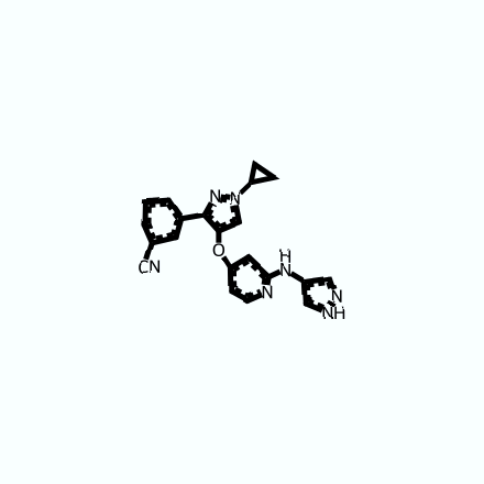 N#Cc1cccc(-c2nn(C3CC3)cc2Oc2ccnc(Nc3cn[nH]c3)c2)c1